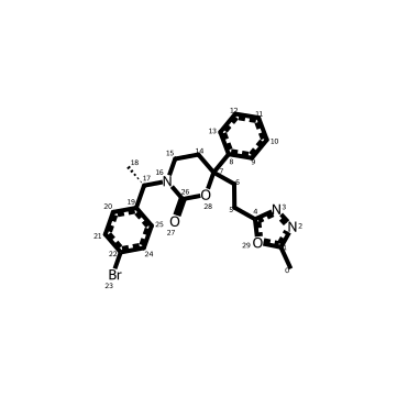 Cc1nnc(CCC2(c3ccccc3)CCN([C@@H](C)c3ccc(Br)cc3)C(=O)O2)o1